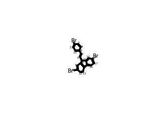 Brc1ccc(C=CC2c3cc(Br)ccc3-c3ccc(Br)cc32)cc1